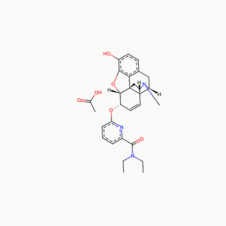 CC(=O)O.CCN(CC)C(=O)c1cccc(O[C@H]2C=C[C@H]3[C@H]4Cc5ccc(O)c6c5[C@@]3(CCN4C)[C@H]2O6)n1